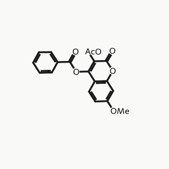 COc1ccc2c(OC(=O)c3ccccc3)c(OC(C)=O)c(=O)oc2c1